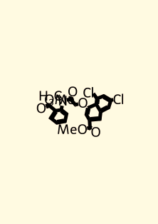 COC(=O)c1cc(OCC(=O)N(C)c2ccccc2C(=O)OC)c2c(Cl)cc(Cl)cc2c1